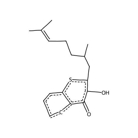 CC(C)=CCCC(C)Cc1sc2ccccc2c(=O)c1O